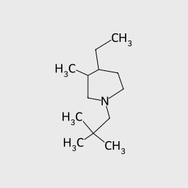 CCC1CCN(CC(C)(C)C)CC1C